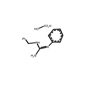 CC(C)CNC(N)=Nc1ccccc1.O=S(=O)(O)O